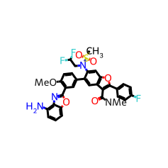 CNC(=O)c1c(-c2ccc(F)cc2)oc2cc(N(CC(F)F)S(C)(=O)=O)c(-c3ccc(OC)c(-c4nc5c(N)cccc5o4)c3)cc12